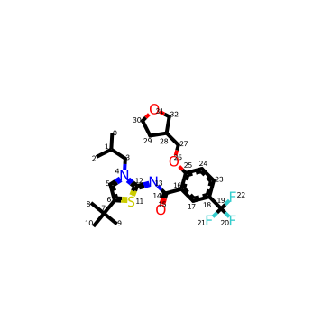 CC(C)Cn1cc(C(C)(C)C)sc1=NC(=O)c1cc(C(F)(F)F)ccc1OCC1CCOC1